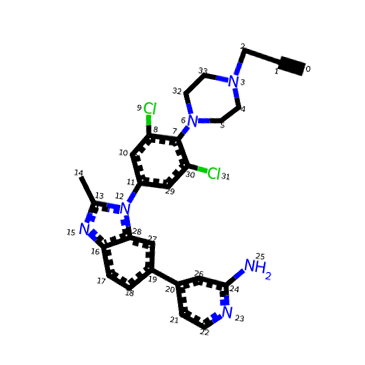 C#CCN1CCN(c2c(Cl)cc(-n3c(C)nc4ccc(-c5ccnc(N)c5)cc43)cc2Cl)CC1